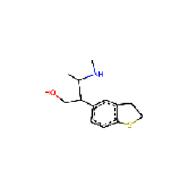 CNC(C)C(CO)c1ccc2c(c1)CCS2